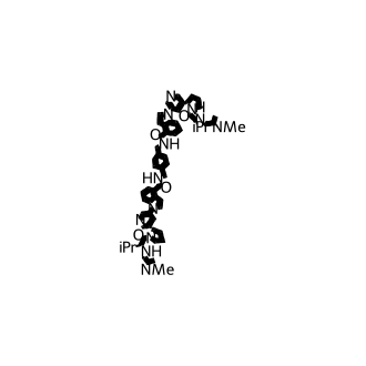 CN[C@@H](C)CN[C@H](C(=O)N1CCC[C@H]1c1cncc(-n2ccc3c(C(=O)NCc4ccc(CNC(=O)c5cccc6c5ccn6-c5cncc([C@@H]6CCCN6C(=O)[C@@H](NC[C@H](C)NC)C(C)C)c5)cc4)cccc32)c1)C(C)C